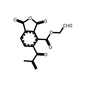 C=C(C)C(=O)c1ccc2c(c1C(=O)OCC=O)C(=O)OC2=O